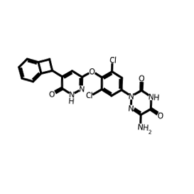 Nc1nn(-c2cc(Cl)c(Oc3cc(C4Cc5ccccc54)c(=O)[nH]n3)c(Cl)c2)c(=O)[nH]c1=O